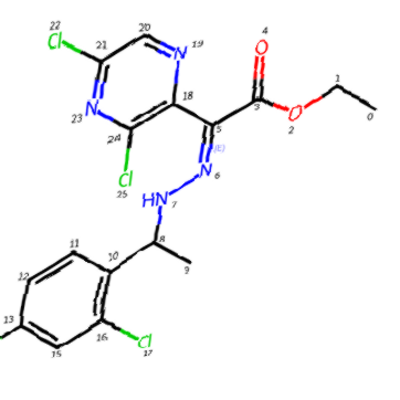 CCOC(=O)/C(=N/NC(C)c1ccc(Cl)cc1Cl)c1ncc(Cl)nc1Cl